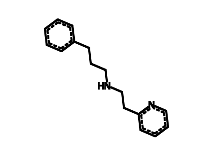 c1ccc(CCCNCCc2ccccn2)cc1